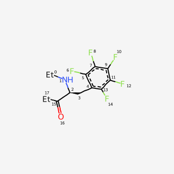 CCN[C@@H](Cc1c(F)c(F)c(F)c(F)c1F)C(=O)CC